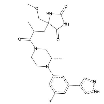 COCC1(CC(C)C(=O)N2CCN(c3cc(F)cc(-c4cn[nH]c4)c3)[C@@H](C)C2)NC(=O)NC1=O